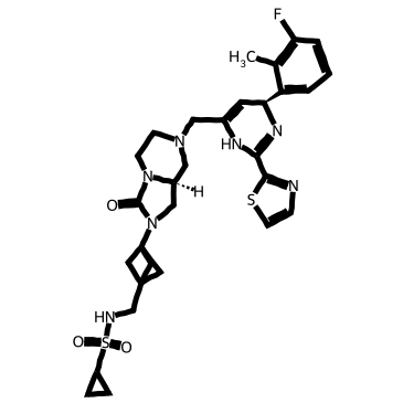 Cc1c(F)cccc1[C@@H]1C=C(CN2CCN3C(=O)N(C45CC(CNS(=O)(=O)C6CC6)(C4)C5)C[C@@H]3C2)NC(c2nccs2)=N1